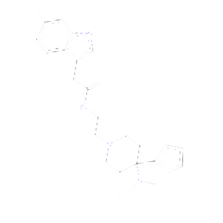 CN(C)C1(c2cccs2)CCN(CCNC(=O)Cc2c[nH]c3cc(F)ccc23)CC1